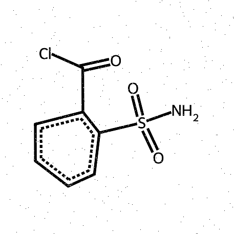 NS(=O)(=O)c1ccccc1C(=O)Cl